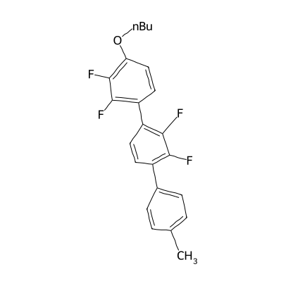 CCCCOc1ccc(-c2ccc(-c3ccc(C)cc3)c(F)c2F)c(F)c1F